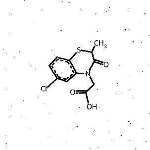 CC1Sc2ccc(Cl)cc2N(CC(=O)O)C1=O